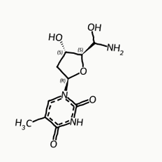 Cc1cn([C@H]2C[C@H](O)[C@@H](C(N)O)O2)c(=O)[nH]c1=O